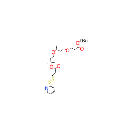 CC(CCOCCC(=O)OC(C)(C)C)OCCC(C)(C)OC(=O)CCSSc1ccccn1